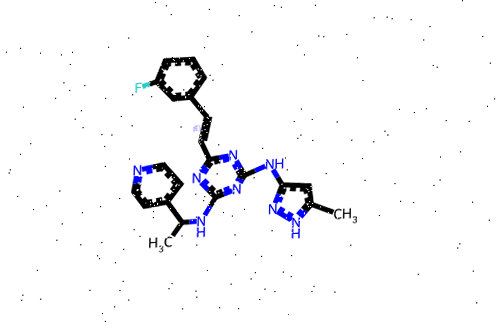 Cc1cc(Nc2nc(/C=C/c3cccc(F)c3)nc(NC(C)c3ccncc3)n2)n[nH]1